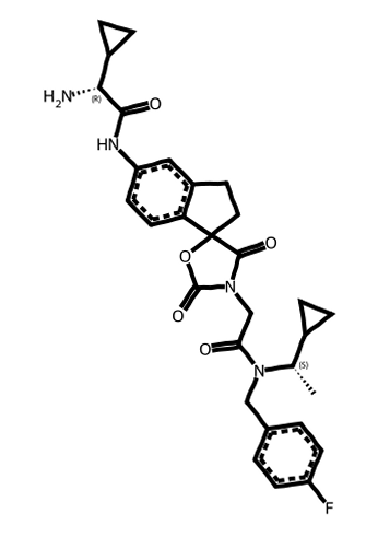 C[C@@H](C1CC1)N(Cc1ccc(F)cc1)C(=O)CN1C(=O)OC2(CCc3cc(NC(=O)[C@H](N)C4CC4)ccc32)C1=O